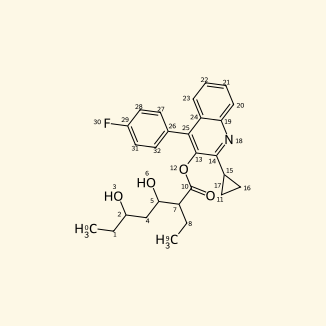 CCC(O)CC(O)C(CC)C(=O)Oc1c(C2CC2)nc2ccccc2c1-c1ccc(F)cc1